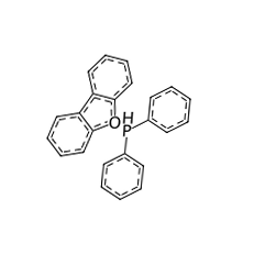 c1ccc(Pc2ccccc2)cc1.c1ccc2c(c1)oc1ccccc12